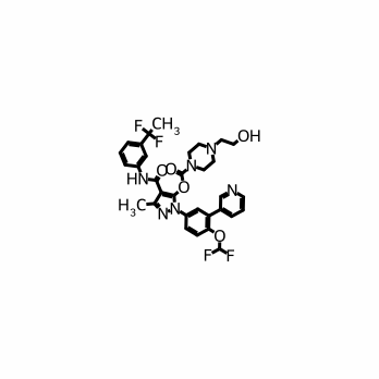 Cc1nn(-c2ccc(OC(F)F)c(-c3cccnc3)c2)c(OC(=O)N2CCN(CCO)CC2)c1C(=O)Nc1cccc(C(C)(F)F)c1